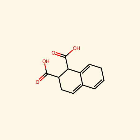 O=C(O)C1CC=C2C=CCC=C2C1C(=O)O